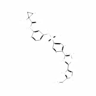 CC1(C(=O)Nc2cccc(NS(=O)(=O)c3ccc(-c4noc(-c5csc(CN)n5)n4)cc3)c2)CC1